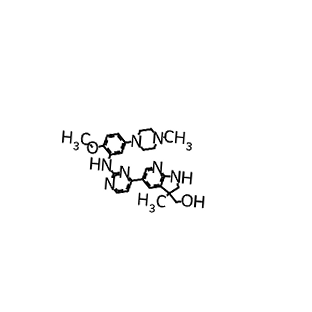 COc1ccc(N2CCN(C)CC2)cc1Nc1nccc(-c2cnc3c(c2)C(C)(CO)CN3)n1